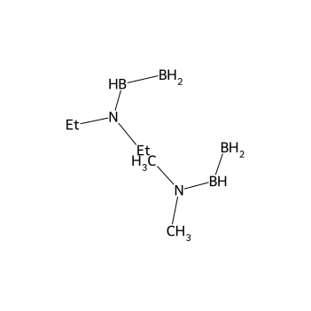 BBN(C)C.BBN(CC)CC